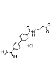 COC(=O)CCCNC(=O)c1ccc(-c2ccc(C(=N)N)cc2)cc1.Cl